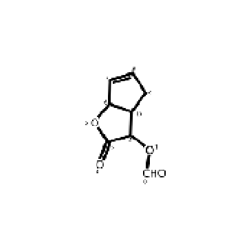 O=COC1C(=O)OC2C=CCC21